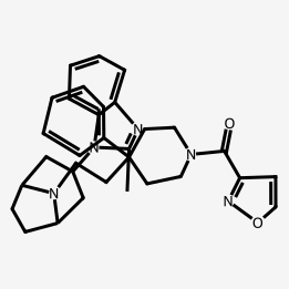 Cc1nc2ccccc2n1C1CC2CCC(C1)N2CCC1(c2ccccc2)CCN(C(=O)c2ccon2)CC1